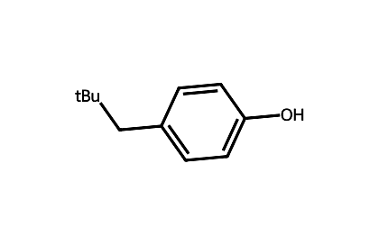 CC(C)(C)Cc1ccc(O)cc1